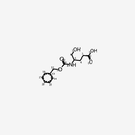 O=C(O)CCC(CO)NC(=O)OCc1ccccc1